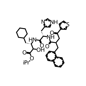 CC(C)OC(=O)C(O)[C@H](CC1CCCCC1)NC(=O)[C@H](Cc1c[nH]cn1)NC(=O)C(CC(=O)c1ccsc1)Cc1cccc2ccccc12